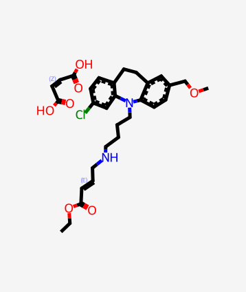 CCOC(=O)/C=C/CNCCCCN1c2ccc(COC)cc2CCc2ccc(Cl)cc21.O=C(O)/C=C\C(=O)O